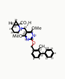 COc1nc(OCc2cccc(-c3ccccc3)c2C)nc(OC)c1CN1CCC[C@H]2C[C@]21C(=O)O